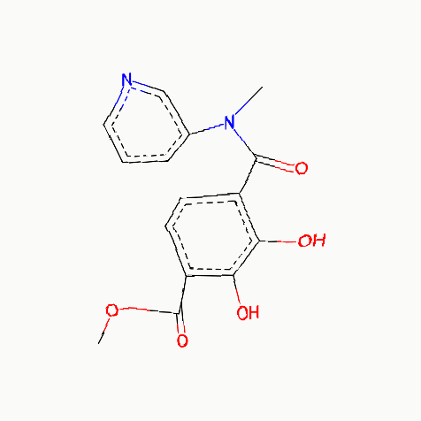 COC(=O)c1ccc(C(=O)N(C)c2cccnc2)c(O)c1O